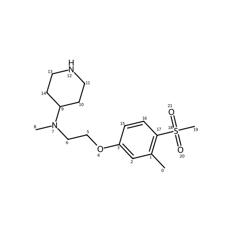 Cc1cc(OCCN(C)C2CCNCC2)ccc1S(C)(=O)=O